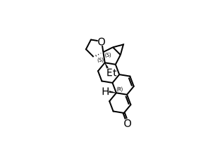 CC[C@]12CCC3C(C=CC4=CC(=O)CC[C@@H]43)C1C1CC1[C@@]21CCCO1